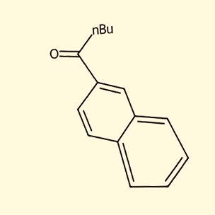 CCCCC(=O)c1ccc2ccccc2c1